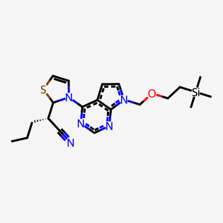 CCC[C@@H](C#N)C1SC=CN1c1ncnc2c1ccn2COCC[Si](C)(C)C